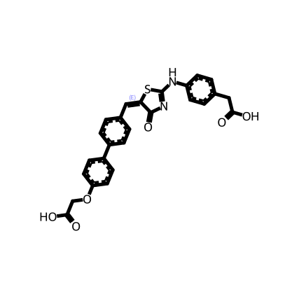 O=C(O)COc1ccc(-c2ccc(/C=C3/SC(Nc4ccc(CC(=O)O)cc4)=NC3=O)cc2)cc1